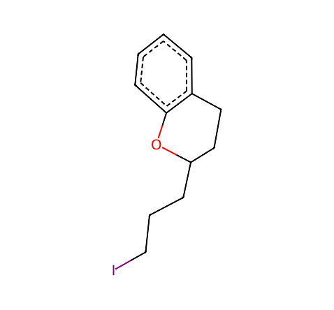 ICCCC1CCc2ccccc2O1